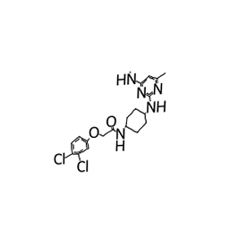 CNc1cc(C)nc(N[C@H]2CC[C@@H](NC(=O)COc3ccc(Cl)c(Cl)c3)CC2)n1